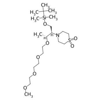 COCCOCCOCCO[C@H](C)[C@@H](CO[Si](C)(C)C(C)(C)C)N1CCS(=O)(=O)CC1